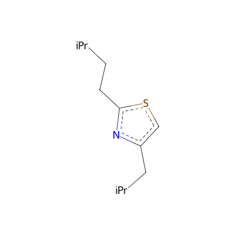 CC(C)CCc1nc(CC(C)C)cs1